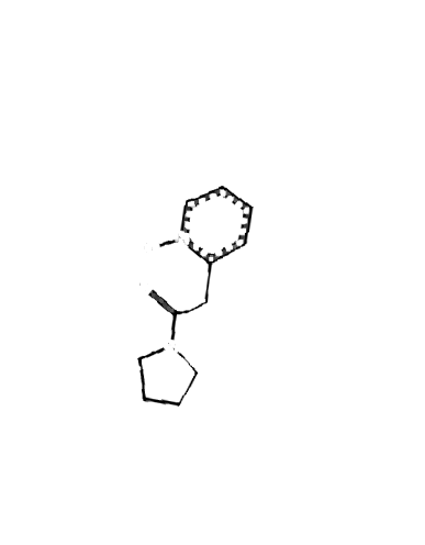 O=C(Cc1cccc[n+]1[O-])N1CCCC1